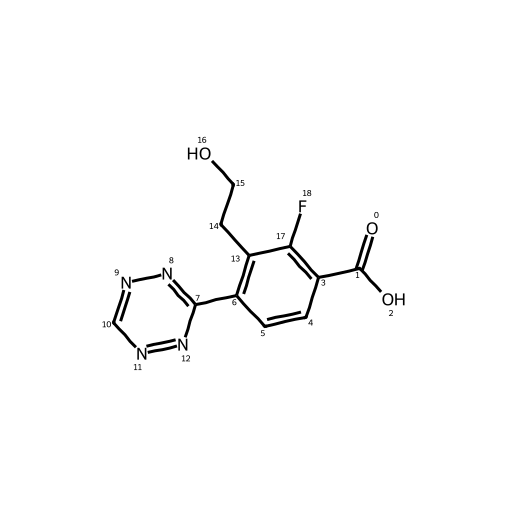 O=C(O)c1ccc(-c2nncnn2)c(CCO)c1F